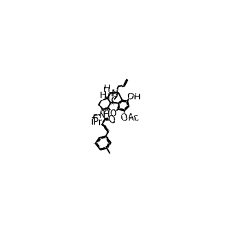 C=CCN1CC[C@]23c4c5c(O)cc(OC(C)=O)c4O[C@H]2[C@H](N(CC(C)C)C(=O)C=Cc2cccc(C)c2)CC[C@H]3[C@H]1C5